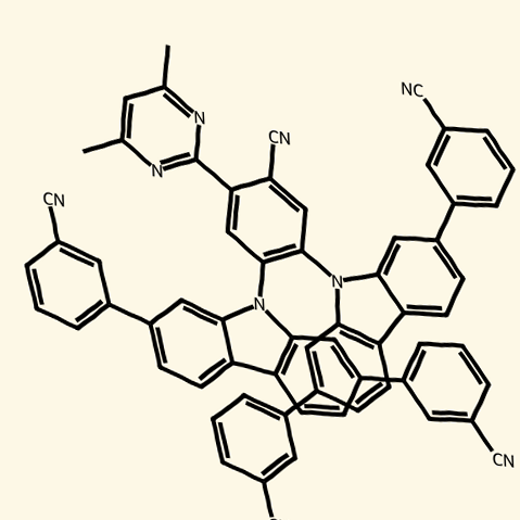 Cc1cc(C)nc(-c2cc(-n3c4cc(-c5cccc(C#N)c5)ccc4c4ccc(-c5cccc(C#N)c5)cc43)c(-n3c4cc(-c5cccc(C#N)c5)ccc4c4ccc(-c5cccc(C#N)c5)cc43)cc2C#N)n1